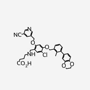 Cc1c(COc2cc(OCc3cncc(C#N)c3)c(CNCCCC(=O)O)cc2Cl)cccc1-c1ccc2c(c1)OCCO2